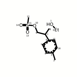 CCO.Cc1ccc(C(C)COS(C)(=O)=O)cc1